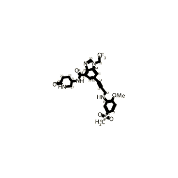 COc1ccc(S(C)(=O)=O)cc1NCC#Cc1cc(C(=O)NC2CCC(=O)NC2)c2ncn(CC(F)(F)F)c2c1